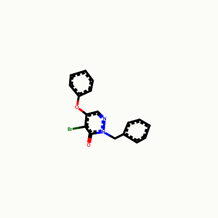 O=c1c(Br)c(Oc2ccccc2)cnn1Cc1ccccc1